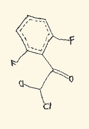 O=C(c1c(F)cccc1F)C(Cl)Cl